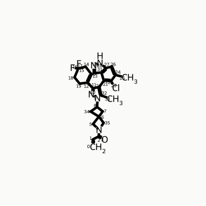 C=CC(=O)N1CC2(CC(n3nc(C4=CCC(F)(F)CC4)c(-c4c(Cl)c(C)cc5[nH]ncc45)c3C)C2)C1